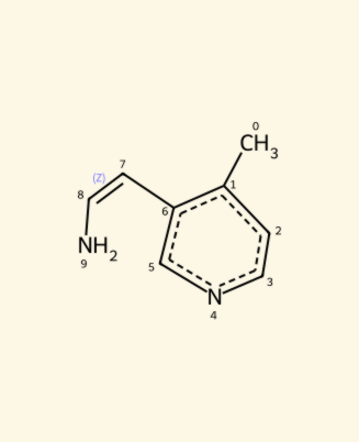 Cc1ccncc1/C=C\N